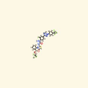 O=C(N=C1SCC(=O)N1c1ccccc1COCC(F)(F)F)Nc1ccc(-c2ncn(-c3ccc(C(F)(F)F)cc3)n2)cc1F